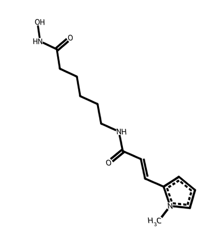 Cn1cccc1/C=C/C(=O)NCCCCCC(=O)NO